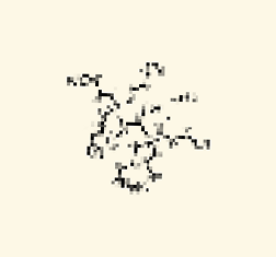 CC(C(C)[P+](CCCC#N)(CCCC#N)CCCC#N)[P+](CCCC#N)(CCCC#N)CCCC#N.[I-].[I-]